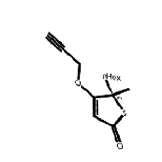 C#CCOC1=CC(=O)S[C@]1(C)CCCCCC